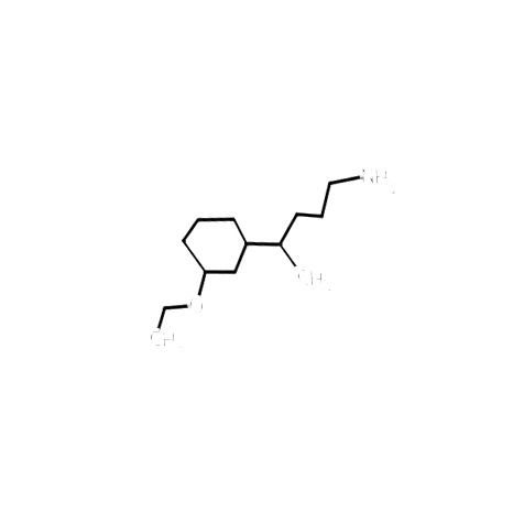 CCOC1CCCC(C(C)C[CH]CN)C1